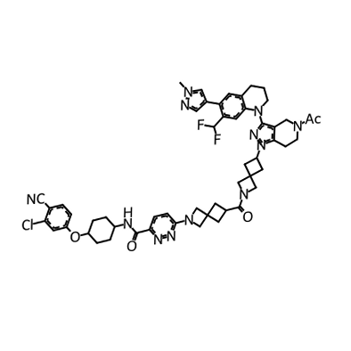 CC(=O)N1CCc2c(c(N3CCCc4cc(-c5cnn(C)c5)c(C(F)F)cc43)nn2C2CC3(C2)CN(C(=O)C2CC4(C2)CN(c2ccc(C(=O)NC5CCC(Oc6ccc(C#N)c(Cl)c6)CC5)nn2)C4)C3)C1